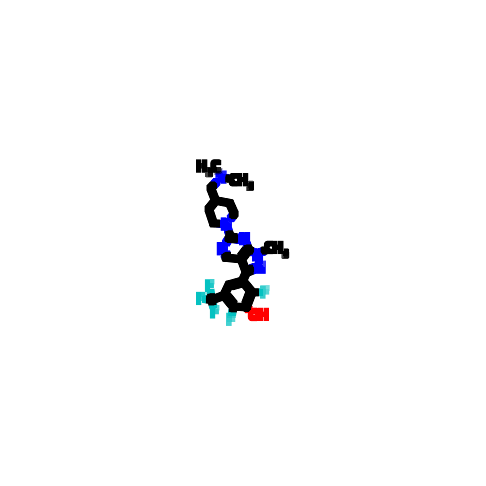 CN(C)CC1CCN(c2ncc3c(-c4cc(C(F)(F)F)c(F)c(O)c4F)nn(C)c3n2)CC1